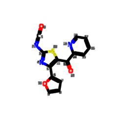 O=C=Nc1nc(-c2ccco2)c(C(=O)c2ccccn2)s1